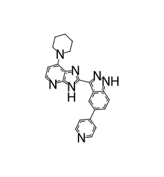 c1cc(-c2ccc3[nH]nc(-c4nc5c(N6CCCCC6)ccnc5[nH]4)c3c2)ccn1